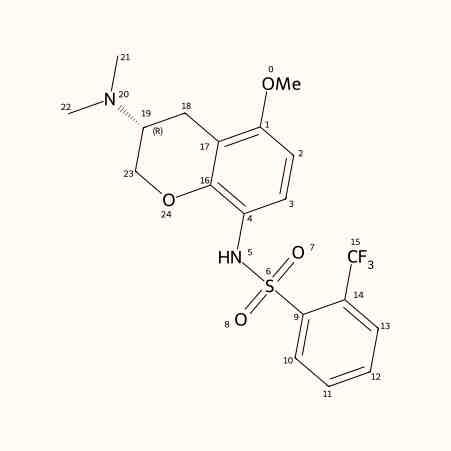 COc1ccc(NS(=O)(=O)c2ccccc2C(F)(F)F)c2c1C[C@@H](N(C)C)CO2